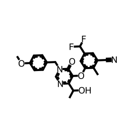 COc1ccc(Cn2cnc(C(C)O)c(Oc3cc(C(F)F)cc(C#N)c3C)c2=O)cc1